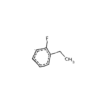 CCc1ccc[c]c1F